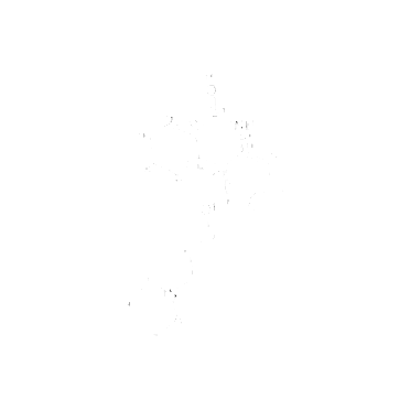 CCN(CC)CCCOc1cccc2[nH]c(=O)c3ccccc3c12